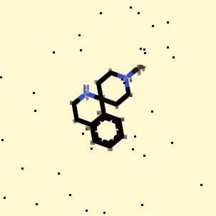 CC(C)N1CCC2(CC1)NCCc1ccccc12